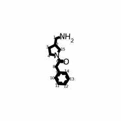 NCC1CCN(C(=O)Cc2c[c]ccc2)C1